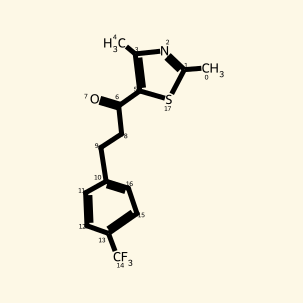 Cc1nc(C)c(C(=O)CCc2ccc(C(F)(F)F)cc2)s1